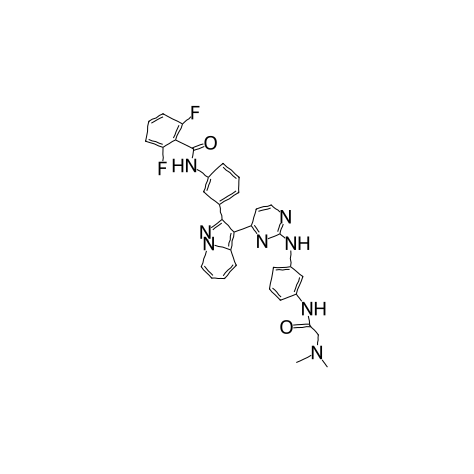 CN(C)CC(=O)Nc1cccc(Nc2nccc(-c3c(-c4cccc(NC(=O)c5c(F)cccc5F)c4)nn4ccccc34)n2)c1